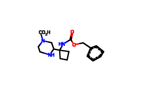 O=C(NC1(C2CN(C(=O)O)CCN2)CCC1)OCc1ccccc1